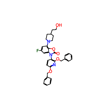 O=c1oc2c(N3CCC(CCO)CC3)cc(F)cc2n1-c1ccc(OCc2ccccc2)nc1OCc1ccccc1